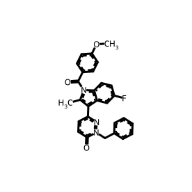 COc1ccc(C(=O)n2c(C)c(-c3ccc(=O)n(Cc4ccccc4)n3)c3cc(F)ccc32)cc1